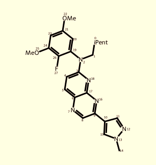 CCCC(C)CN(c1ccc2ncc(-c3cnn(C)c3)nc2n1)c1cc(OC)cc(OC)c1F